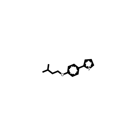 CC(C)CCOc1ccc(-c2cccs2)cc1